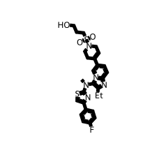 CCc1nc2ccc(C3=CCN(S(=O)(=O)CCCO)CC3)cn2c1N(C)c1nc(-c2ccc(F)cc2)cs1